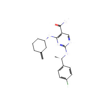 C=C1CCC[C@@H](Nc2nc(N[C@H](C)c3ccc(F)cc3)ncc2C(N)=O)C1